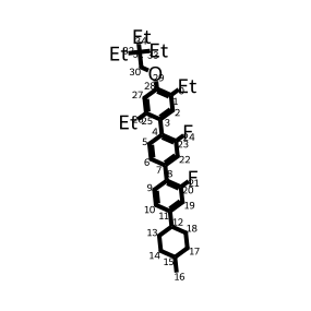 CCc1cc(-c2ccc(-c3ccc(C4CCC(C)CC4)cc3F)cc2F)c(CC)cc1OCC(CC)(CC)CC